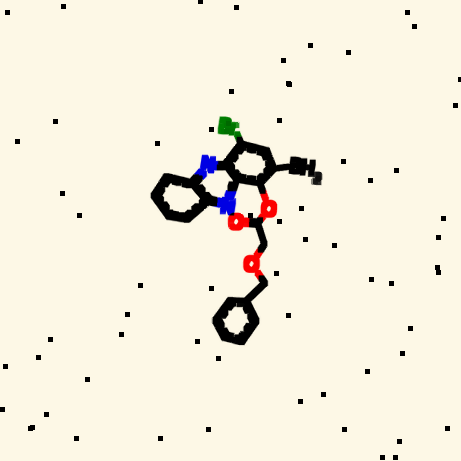 Bc1cc(Br)c2nc3ccccc3nc2c1OC(=O)COCc1ccccc1